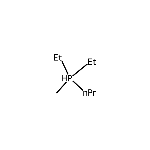 CCC[PH](C)(CC)CC